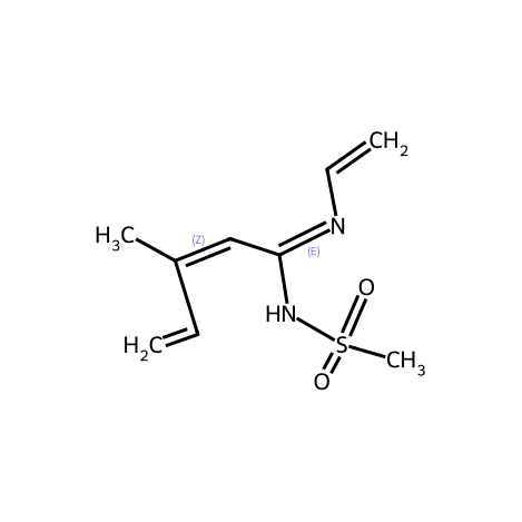 C=C/N=C(\C=C(\C)C=C)NS(C)(=O)=O